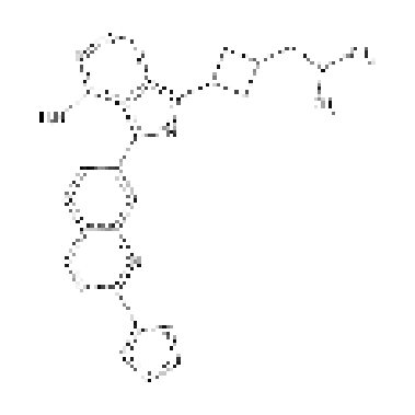 CN(C)CC1CC(c2nc(-c3ccc4ccc(-c5cccs5)nc4c3)c3c(N)nccn23)C1